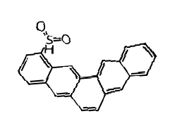 O=[SH](=O)c1cccc2cc3ccc4cc5ccccc5cc4c3cc12